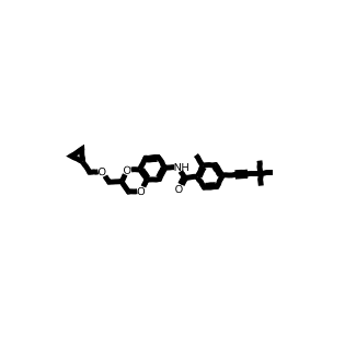 Cc1cc(C#CC(C)(C)C)ccc1C(=O)Nc1ccc2c(c1)OCC(COCC1CC1)O2